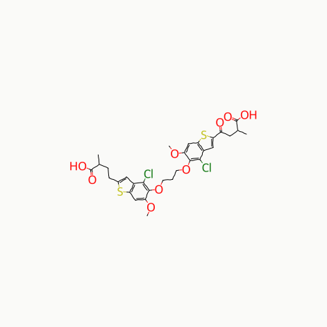 COc1cc2sc(CCC(C)C(=O)O)cc2c(Cl)c1OCCCOc1c(OC)cc2sc(C(=O)CC(C)C(=O)O)cc2c1Cl